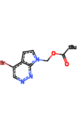 CC(C)(C)C(=O)OCn1ccc2c(Br)cnnc21